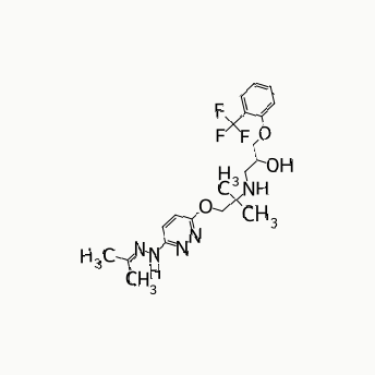 CC(C)=NNc1ccc(OCC(C)(C)NCC(O)COc2ccccc2C(F)(F)F)nn1